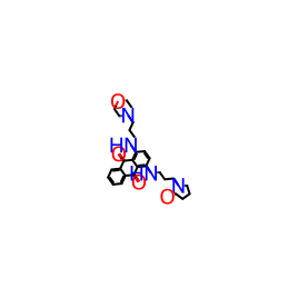 O=C1c2ccccc2C(=O)c2c(NCCCN3CCCC3=O)ccc(NCCCN3CCOCC3)c21